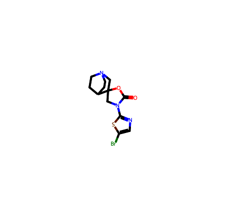 O=C1OC2(CN3CCC2CC3)CN1c1ncc(Br)s1